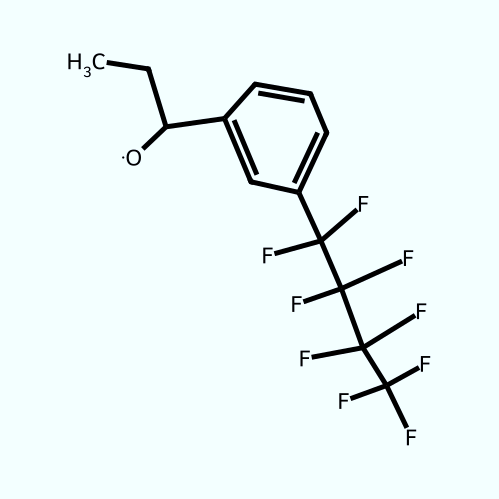 CCC([O])c1cccc(C(F)(F)C(F)(F)C(F)(F)C(F)(F)F)c1